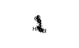 COC(=O)c1ccc(CCCc2c(C)[nH]c3ccc(Cl)cc23)cc1